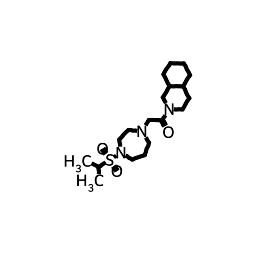 CC(C)S(=O)(=O)N1CCCN(CC(=O)N2CCC3CCCCC3C2)CC1